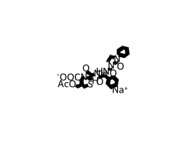 CC(=O)OCC1=C(C(=O)[O-])N2C(=O)C(NC(=O)C(NC(=O)N3CCN(c4ccccc4)C3=O)c3ccccc3)[C@@H]2SC1.[Na+]